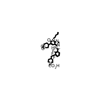 C=CCCCn1c(=O)c(C2CCS(=O)(=O)CC2)cc2c(N[C@H](C)c3cccc(C(F)(F)CC4CCN(C(=O)O)CC4)c3F)ncnc21